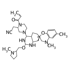 C=CC(=O)N1CCN(C2NC(OCC3CCCN3C)NC3C[C@]4(CCC32)CN(C)c2cc(C)ccc2O4)CC1CC#N